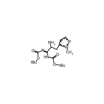 Cn1nccc1CC(N)C(=NC(=O)OC(C)(C)C)NC(=O)OC(C)(C)C